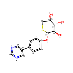 O[C@@H]1[C@@H](O)[C@H](Oc2ccc(-c3cncnc3)cc2)SC[C@H]1O